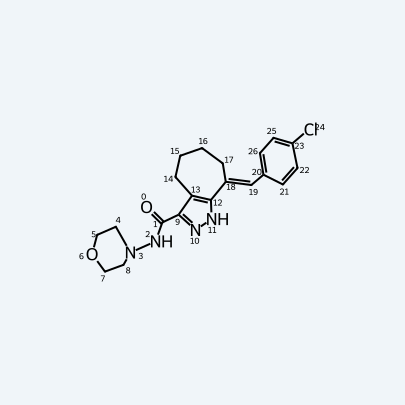 O=C(NN1CCOCC1)c1n[nH]c2c1CCCCC2=Cc1ccc(Cl)cc1